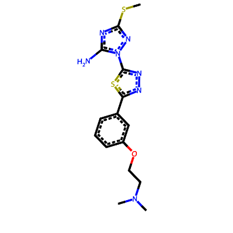 CSc1nc(N)n(-c2nnc(-c3cccc(OCCN(C)C)c3)s2)n1